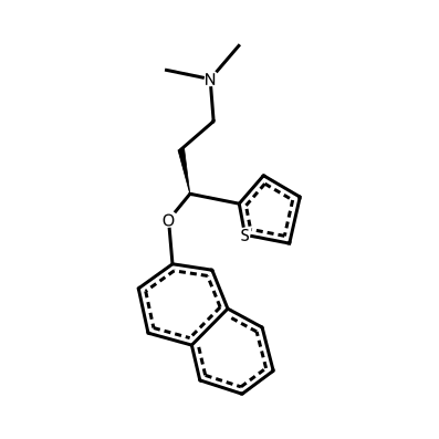 CN(C)CC[C@H](Oc1ccc2ccccc2c1)c1cccs1